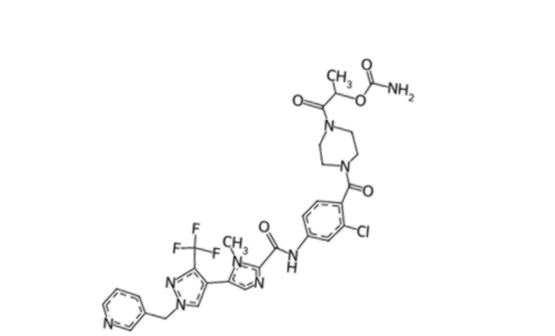 CC(OC(N)=O)C(=O)N1CCN(C(=O)c2ccc(NC(=O)c3ncc(-c4cn(Cc5cccnc5)nc4C(F)(F)F)n3C)cc2Cl)CC1